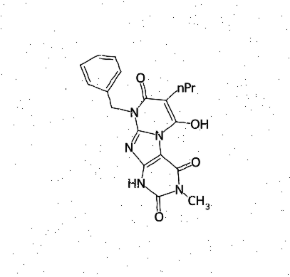 CCCc1c(O)n2c3c(=O)n(C)c(=O)[nH]c3nc2n(Cc2ccccc2)c1=O